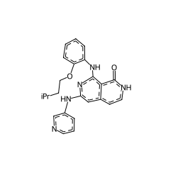 CC(C)CCOc1ccccc1Nc1nc(Nc2cccnc2)cc2cc[nH]c(=O)c12